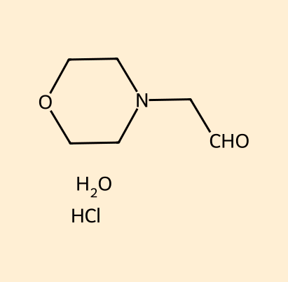 Cl.O.O=CCN1CCOCC1